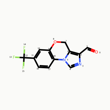 O=Cc1ncn2c1COc1cc(C(F)(F)F)ccc1-2